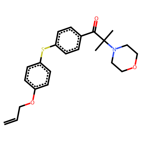 C=CCOc1ccc(Sc2ccc(C(=O)C(C)(C)N3CCOCC3)cc2)cc1